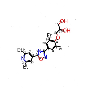 CCc1cc(-c2nc(-c3cc(C)c(OC[C@H](O)CO)c(CC)c3)no2)cc(CC)n1